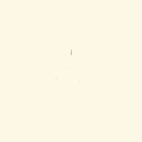 C=CC[SiH](CC=C)CC[Si](C)(OC)OC